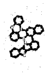 c1ccc2c(c1)Oc1cccc3c1N2c1cc2ccccc2c2c1B3n1c3c-2cccc3c2oc3ccccc3c21